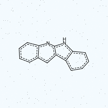 [c]1cccc2nc3[nH]c4ccccc4c3cc12